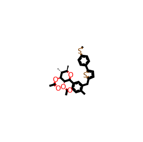 CSc1ccc(-c2ccc(Cc3cc(C4O[C@H](C)[C@@H](C)[C@H](OC(C)=O)[C@H]4OC(C)=O)ccc3C)s2)cc1